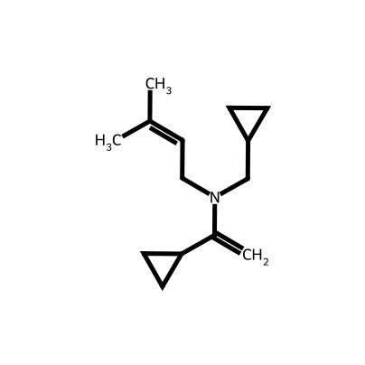 C=C(C1CC1)N(CC=C(C)C)CC1CC1